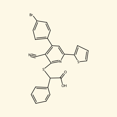 N#Cc1c(-c2ccc(Br)cc2)cc(-c2cccs2)nc1SC(C(=O)O)c1ccccc1